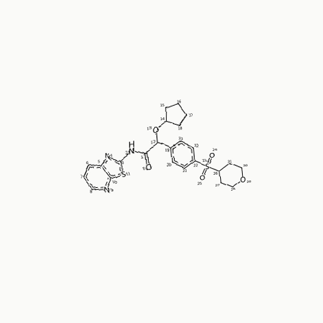 O=C(Nc1nc2cccnc2s1)C(OC1CCCC1)c1ccc(S(=O)(=O)C2CCOCC2)cc1